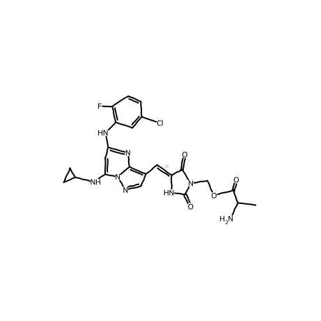 CC(N)C(=O)OCN1C(=O)N/C(=C\c2cnn3c(NC4CC4)cc(Nc4cc(Cl)ccc4F)nc23)C1=O